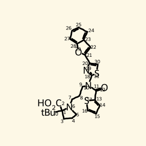 CC(C)(C)C1(C(=O)O)CCCN1CCCN(C(=O)c1cccs1)c1nc(-c2cc3ccccc3o2)cs1